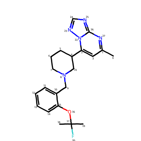 Cc1cc(C2CCCN(Cc3ccccc3OC(C)(C)F)C2)n2ncnc2n1